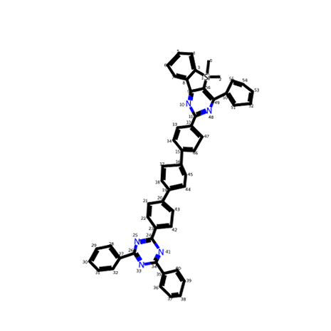 C[Si]1(C)c2ccccc2-c2nc(-c3ccc(-c4ccc(-c5ccc(-c6nc(-c7ccccc7)nc(-c7ccccc7)n6)cc5)cc4)cc3)nc(-c3ccccc3)c21